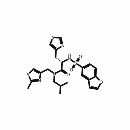 Cc1nc(CN(CC(C)C)C(=O)[C@H](Cc2cscn2)NS(=O)(=O)c2ccc3occc3c2)cs1